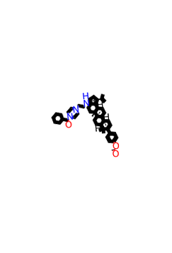 C=C(C)[C@@H]1CC[C@]2(NCCN3CCN(C(=O)C4CCCCC4)CC3)CC[C@]3(C)[C@H](CC[C@@H]4[C@@]5(C)CC=C(c6ccc(OC=O)cc6)C(C)(C)[C@@H]5CC[C@]43C)[C@@H]12